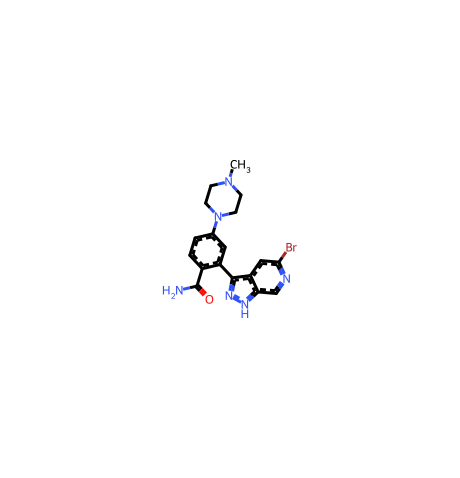 CN1CCN(c2ccc(C(N)=O)c(-c3n[nH]c4cnc(Br)cc34)c2)CC1